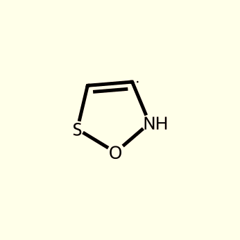 [C]1=CSON1